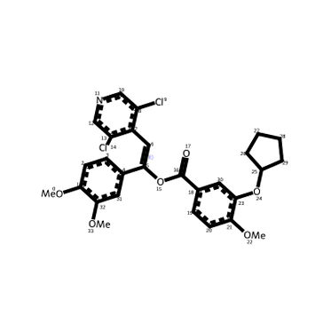 COc1ccc(/C(=C\c2c(Cl)cncc2Cl)OC(=O)c2ccc(OC)c(OC3CCCC3)c2)cc1OC